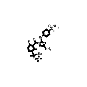 CC(C)(C)C(C)(O[Si](C)(C)C)c1ccc(F)c(C(=O)n2nc(N)nc2Nc2ccc(S(N)(=O)=O)cc2)c1F